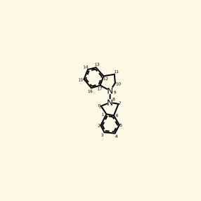 [C]1c2ccccc2CN1N1CCc2ccccc21